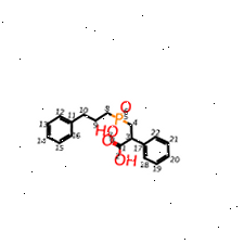 O=C(O)C(CP(=O)(O)CCCc1ccccc1)c1ccccc1